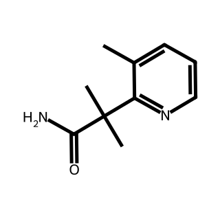 Cc1cccnc1C(C)(C)C(N)=O